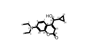 CCN(CC)c1ccc2c(C(O)C3CC3)cc(=O)oc2c1